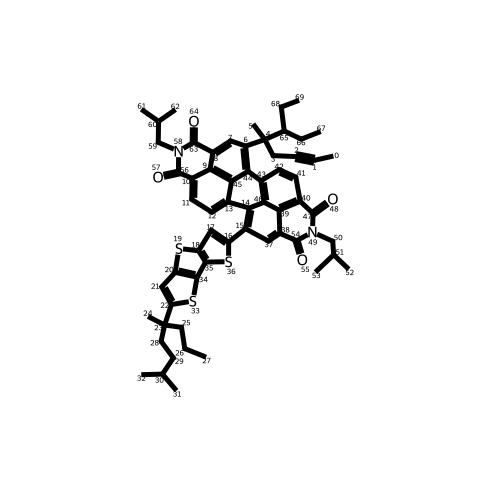 CC#CCC(C)(c1cc2c3c(ccc4c5c(-c6cc7sc8cc(C(C)(CCC)CCC(C)C)sc8c7s6)cc6c7c(ccc(c1c34)c75)C(=O)N(CC(C)C)C6=O)C(=O)N(CC(C)C)C2=O)C(CC)CC